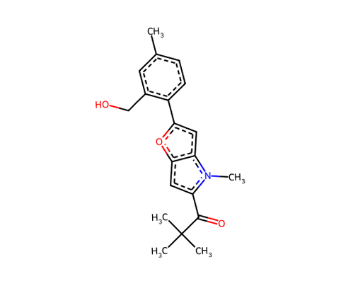 Cc1ccc(-c2cc3c(cc(C(=O)C(C)(C)C)n3C)o2)c(CO)c1